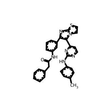 Cc1ccc(Nc2nccc(-c3c(-c4cccc(NC(=O)Cc5ccccc5)c4)nc4sccn34)n2)cc1